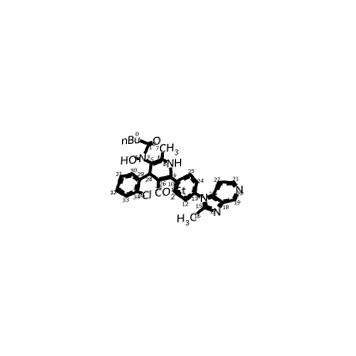 CCCCC(=O)N(O)C1=C(C)NC(c2ccc(-n3c(C)nc4cnccc43)cc2)=C(C(=O)OCC)C1c1ccccc1Cl